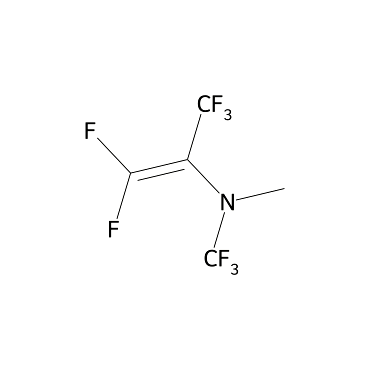 CN(C(=C(F)F)C(F)(F)F)C(F)(F)F